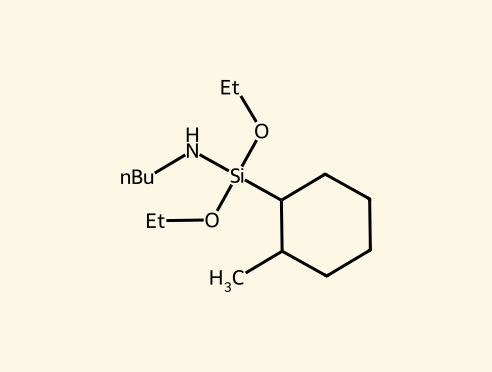 CCCCN[Si](OCC)(OCC)C1CCCCC1C